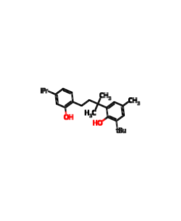 Cc1cc(C(C)(C)C)c(O)c(C(C)(C)CCc2ccc(C(C)C)cc2O)c1